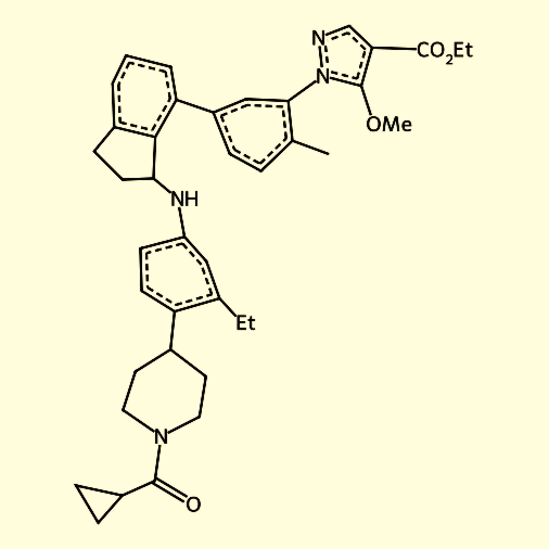 CCOC(=O)c1cnn(-c2cc(-c3cccc4c3C(Nc3ccc(C5CCN(C(=O)C6CC6)CC5)c(CC)c3)CC4)ccc2C)c1OC